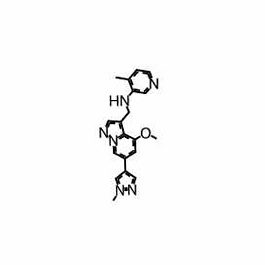 COc1cc(-c2cnn(C)c2)cn2ncc(CNc3cnccc3C)c12